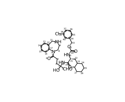 O=CC(O)(CCC(=O)N1CCNCc2ccccc21)NC(=O)[C@H](CC1CCCCC1)NC(=O)OCc1cccc(Cl)c1